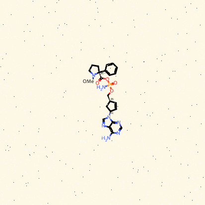 CON1CCC[C@]1(C(=O)OP(N)(=O)OC[C@H]1C=C[C@@H](n2cnc3c(N)ncnc32)C1)c1ccccc1